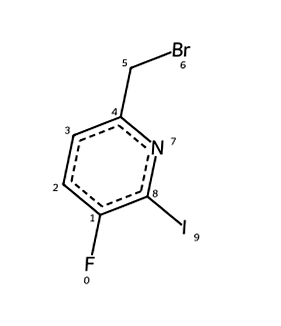 Fc1ccc(CBr)nc1I